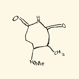 CNC1CC(=O)NC(=O)C1C